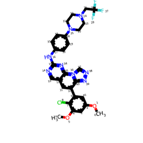 COc1cc(OC)c(Cl)c(-c2cc3cnc(Nc4ccc(N5CCN(CC(F)(F)F)CC5)cc4)nc3n3cnnc23)c1